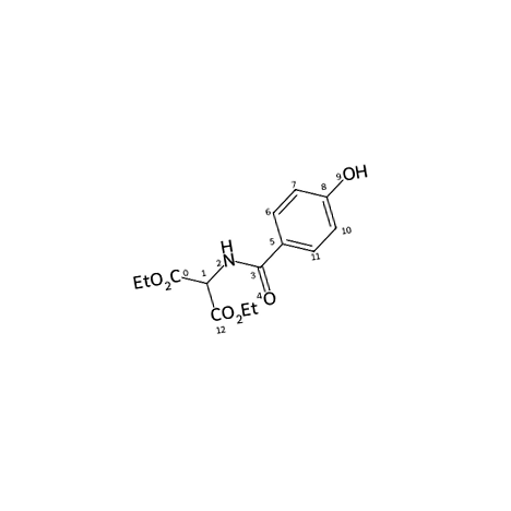 CCOC(=O)C(NC(=O)c1ccc(O)cc1)C(=O)OCC